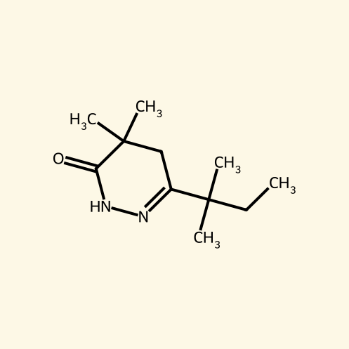 CCC(C)(C)C1=NNC(=O)C(C)(C)C1